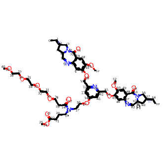 C/C=C1\CC2C=Nc3cc(OCc4cc(OCCN(CCCC(=O)OC)C(=O)CCOCCOCCOCCOC)cc(COc5cc6c(cc5OC)C(=O)N5C/C(=C/C)C[C@H]5C=N6)n4)c(OC)cc3C(=O)N2C1